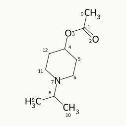 CC(=O)OC1CCN(C(C)C)CC1